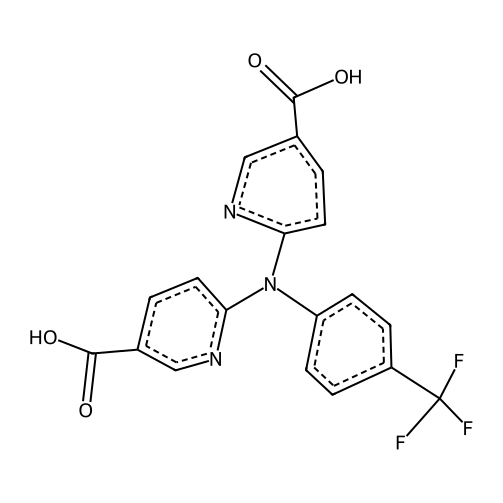 O=C(O)c1ccc(N(c2ccc(C(F)(F)F)cc2)c2ccc(C(=O)O)cn2)nc1